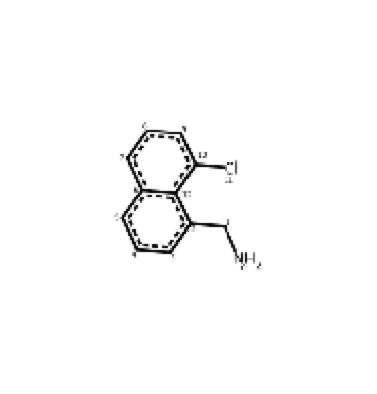 NCc1cccc2cccc(Cl)c12